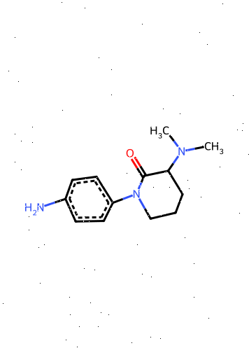 CN(C)C1CCCN(c2ccc(N)cc2)C1=O